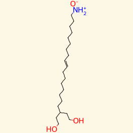 [O-][NH2+]CCCCCCCCC=CCCCCCCCC(CCO)CCO